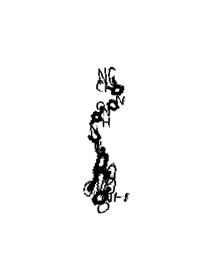 CN(c1ccc(C#N)c(Cl)c1)[C@H]1CC[C@H](NC(=O)c2ccc(CN3CCC(N4Cc5cc6c(cc5C4)C(=O)N([C@H]4CCC(=O)NC4=O)C6=O)CC3)cc2)CC1